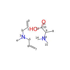 C=CCN(C)CC=C.CC(C(=O)O)N(C)C